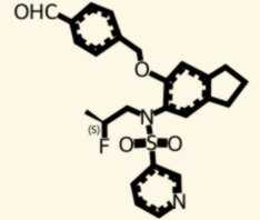 C[C@H](F)CN(c1cc2c(cc1OCc1ccc(C=O)cc1)CCC2)S(=O)(=O)c1cccnc1